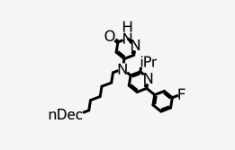 CCCCCCCCCCCCCCCCN(c1cn[nH]c(=O)c1)c1ccc(-c2cccc(F)c2)nc1C(C)C